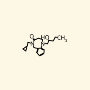 CCCC(O)CN1CCC(=O)N(CC2CC2)Cc2ccccc21